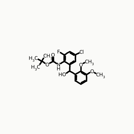 COc1cccc(C(O)c2cc(Cl)cc(F)c2NC(=O)OC(C)(C)C)c1OC